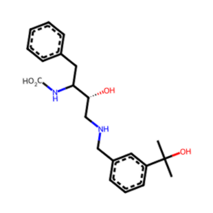 CC(C)(O)c1cccc(CNC[C@@H](O)C(Cc2ccccc2)NC(=O)O)c1